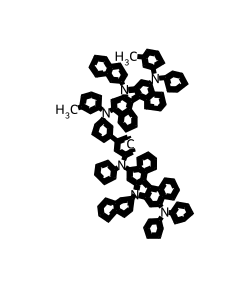 Cc1cccc(N(c2ccccc2)c2cc3c(c4ccccc24)c2c4ccccc4c(N(c4cccc(C)c4)c4cccc(-c5cccc(N(c6ccccc6)c6cc7c(c8ccccc68)c6c8ccccc8c(N(c8ccccc8)c8ccccc8)cc6n7-c6ccc7ccccc7c6)c5)c4)cc2n3-c2ccc3ccccc3c2)c1